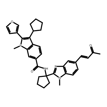 CC(=O)/C=C/c1ccc2c(c1)nc(C1(NC(=O)c3ccc4c(C5CCCC5)c(-c5ccoc5)n(C)c4c3)CCCC1)n2C